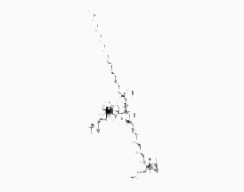 CCCCCCCCCCCCCCCCCC(=O)OCC(COP(=O)([O-])OCC[N+](C)(C)C)OC(=O)CCCCCCCCC1(CCCC)N=N1